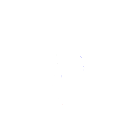 [C-]#[N+]c1c(N2CCOC(CCO)C2)sc(-c2ncc[nH]2)c1-c1ccc(Cl)cc1Cl